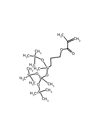 C=C(C)C(=O)OCCC[Si](C)(O[Si](C)(C)C)O[Si](C)(O[Si](C)(C)C)O[Si](C)(C)C